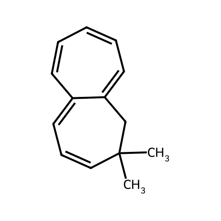 CC1(C)C=CC=C2C=CC=CC=C2C1